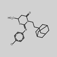 O=C(O)C1CC(=O)N(CCC23CC4CC(CC(C4)C2)C3)C(=Nc2ccc(Cl)cc2)S1